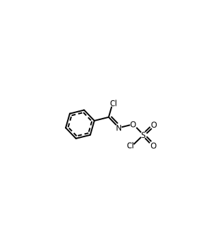 O=S(=O)(Cl)ON=C(Cl)c1ccccc1